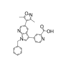 Cc1noc(C)c1-c1cnc2c(c1)c(-c1ccnc(C(=O)O)c1)cn2Cc1ccccc1